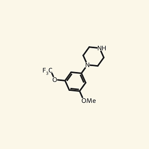 COc1cc(OC(F)(F)F)cc(N2CCNCC2)c1